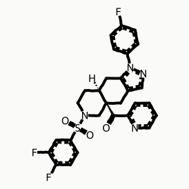 O=C(c1ccccn1)[C@]12Cc3cnn(-c4ccc(F)cc4)c3C[C@@H]1CCN(S(=O)(=O)c1ccc(F)c(F)c1)C2